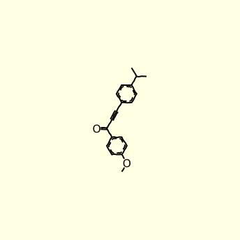 COc1ccc(C(=O)C#Cc2ccc(C(C)C)cc2)cc1